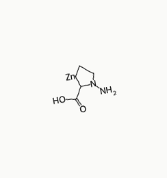 NN1CCCC1C(=O)O.[Zn]